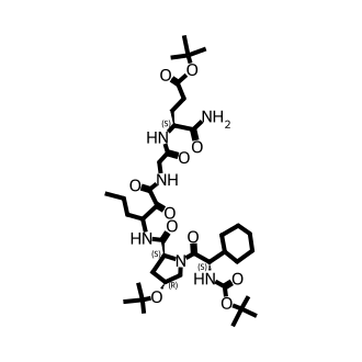 CCCC(NC(=O)[C@@H]1C[C@@H](OC(C)(C)C)CN1C(=O)[C@@H](NC(=O)OC(C)(C)C)C1CCCCC1)C(=O)C(=O)NCC(=O)N[C@@H](CCC(=O)OC(C)(C)C)C(N)=O